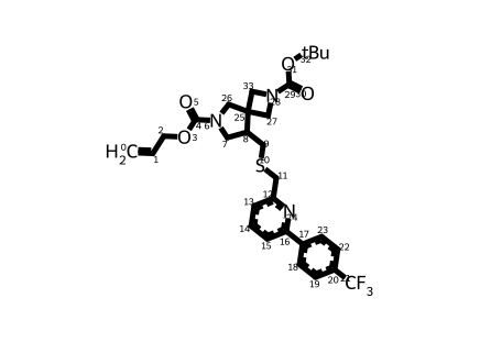 C=CCOC(=O)N1CC(CSCc2cccc(-c3ccc(C(F)(F)F)cc3)n2)C2(C1)CN(C(=O)OC(C)(C)C)C2